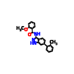 COc1ccccc1C(=O)Nc1n[nH]c2cc(-c3ccccc3C)ccc12